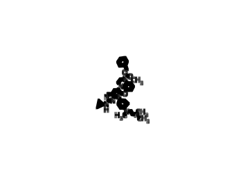 Cc1cccc2c1N(C(=O)OCc1ccccc1)CCN2c1cc2cnc(NC3CC3)nc2n(-c2ccc(N(C)CCN(C)C)cc2)c1=O